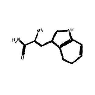 NC(=O)C(N)CC1CNC2=C1CCC=C2